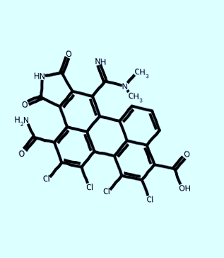 CN(C)C(=N)c1c2c(=O)[nH]c(=O)c2c2c(C(N)=O)c(Cl)c(Cl)c3c4c(Cl)c(Cl)c(C(=O)O)c5cccc(c1c32)c54